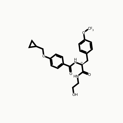 O=C(N[C@@H](Cc1ccc(OC(F)(F)F)cc1)C(=O)NCCO)c1ccc(OCC2CC2)cc1